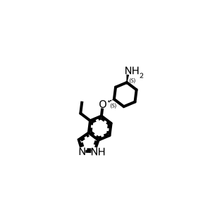 CCc1c(O[C@H]2CCC[C@H](N)C2)ccc2[nH]ncc12